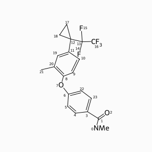 CNC(=O)c1ccc(Oc2ccc(C3(C(F)(F)C(F)(F)F)CC3)cc2C)cc1